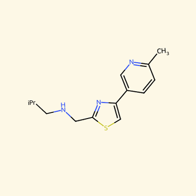 Cc1ccc(-c2csc(CNCC(C)C)n2)cn1